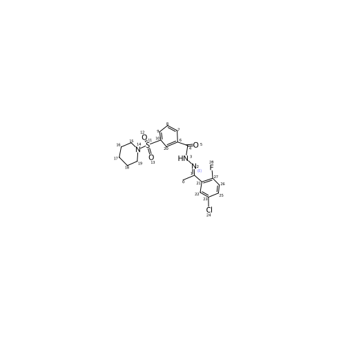 C/C(=N\NC(=O)c1cccc(S(=O)(=O)N2CCCCC2)c1)c1cc(Cl)ccc1F